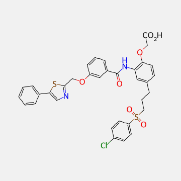 O=C(O)COc1ccc(CCCS(=O)(=O)c2ccc(Cl)cc2)cc1NC(=O)c1cccc(OCc2ncc(-c3ccccc3)s2)c1